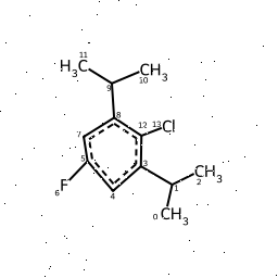 CC(C)c1cc(F)cc(C(C)C)c1Cl